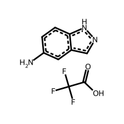 Nc1ccc2[nH]ncc2c1.O=C(O)C(F)(F)F